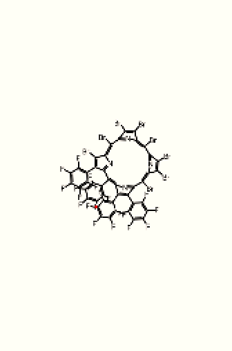 Fc1c(F)c(F)c(C2=C(Br)C3=C(Br)C4=NC(=C(Br)C5=NC(=C(Br)C6=NC(=C(c7c(F)c(F)c(F)c(F)c7F)C2=N3)C(c2c(F)c(F)c(F)c(F)c2F)=C6c2c(F)c(F)c(F)c(F)c2F)C(Br)=C5Br)C(Br)=C4Br)c(F)c1F